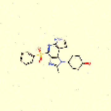 Cc1nc2c(S(=O)(=O)c3ccccc3)nc3[nH]ccc3c2n1C1CCC(=O)CC1